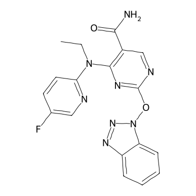 CCN(c1ccc(F)cn1)c1nc(On2nnc3ccccc32)ncc1C(N)=O